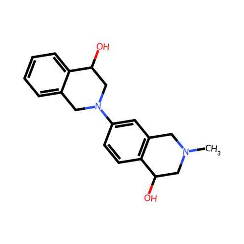 CN1Cc2cc(N3Cc4ccccc4C(O)C3)ccc2C(O)C1